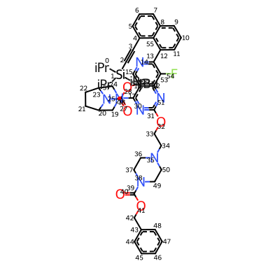 CC(C)[Si](C#Cc1cccc2cccc(-c3ncc4c(N5CC6CCC(C5)N6C(=O)OC(C)(C)C)nc(OCCN5CCN(C(=O)OCc6ccccc6)CC5)nc4c3F)c12)(C(C)C)C(C)C